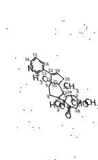 C[C@H]1CC[C@](C)([C@@]2(C)CC[C@]3(C)C(c4cccnc4)=CC[C@@]3(C)[C@@H]2CC=O)C(=O)C1